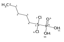 CCCCCS(Cl)(Cl)P(=O)(O)O